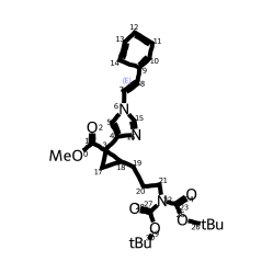 COC(=O)C1(c2cn(/C=C/c3ccccc3)cn2)CC1CCCN(C(=O)OC(C)(C)C)C(=O)OC(C)(C)C